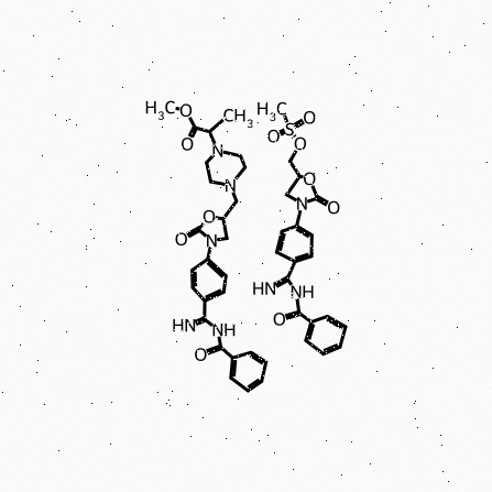 COC(=O)C(C)N1CCN(CC2CN(c3ccc(C(=N)NC(=O)c4ccccc4)cc3)C(=O)O2)CC1.CS(=O)(=O)OCC1CN(c2ccc(C(=N)NC(=O)c3ccccc3)cc2)C(=O)O1